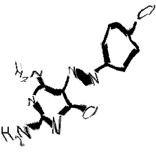 Nc1nc(N)c(N=Nc2ccc(Cl)cc2)c(Cl)n1